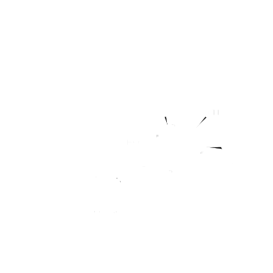 CCOC(=O)C(CC(F)(F)[C@H]1O[C@H](CC)[C@H](C)[C@H](OCc2ccccc2)[C@H]1O)NC(=O)OCc1ccccc1